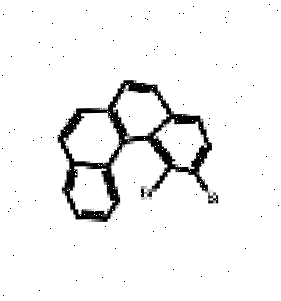 Brc1ccc2ccc3ccc4ccccc4c3c2c1Br